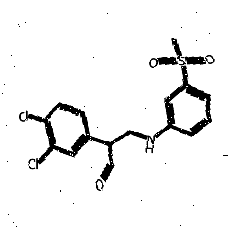 CS(=O)(=O)c1cccc(NCC(C=O)c2ccc(Cl)c(Cl)c2)c1